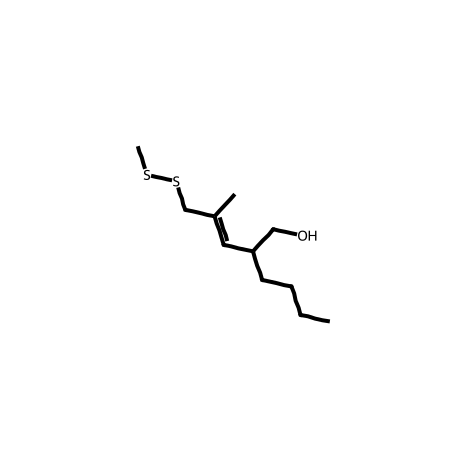 CCCCC(/C=C(\C)CSSC)CO